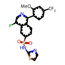 COc1cc(C(F)(F)F)ccc1-c1ncc(F)c2cc(S(=O)(=O)Nc3nccs3)ccc12